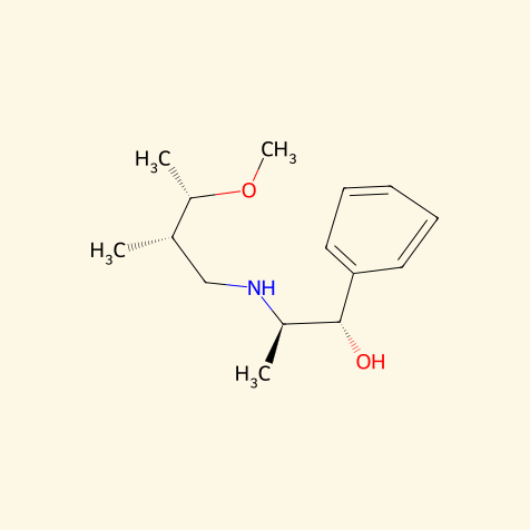 CO[C@@H](C)[C@@H](C)CN[C@H](C)[C@@H](O)c1ccccc1